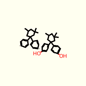 CC1CC(C)(C)CC(c2cc[c]cc2)(c2cc[c]cc2)C1.CC1CC(C)(C)CC(c2ccc(O)cc2)(c2ccc(O)cc2)C1